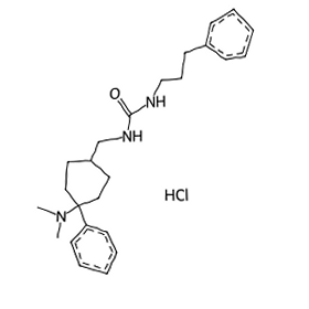 CN(C)C1(c2ccccc2)CCC(CNC(=O)NCCCc2ccccc2)CC1.Cl